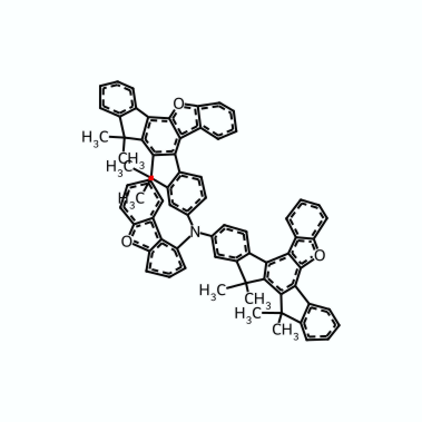 CC1(C)c2ccccc2-c2c1c1c(c3c2oc2ccccc23)-c2ccc(N(c3ccc4c(c3)C(C)(C)c3c5c(c6oc7ccccc7c6c3-4)-c3ccccc3C5(C)C)c3cccc4oc5ccccc5c34)cc2C1(C)C